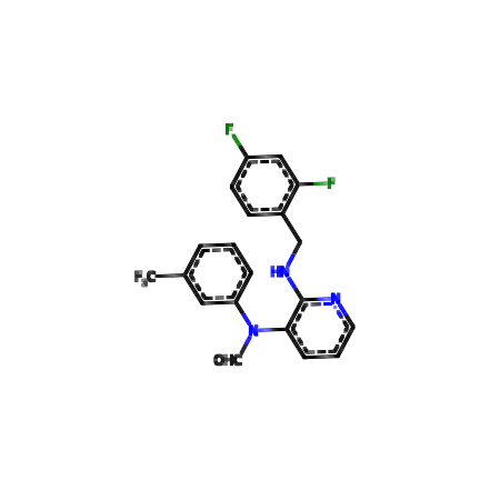 O=CN(c1cccc(C(F)(F)F)c1)c1cccnc1NCc1ccc(F)cc1F